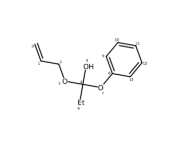 C=CCOC(O)(CC)Oc1ccccc1